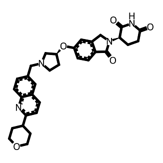 O=C1CC[C@@H](N2Cc3cc(O[C@H]4CCN(Cc5ccc6nc(C7CCOCC7)ccc6c5)C4)ccc3C2=O)C(=O)N1